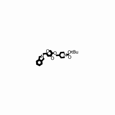 CC(C)(C)OC(=O)N1CCC(COc2coc(CN3Cc4ccccc4C3)cc2=O)CC1